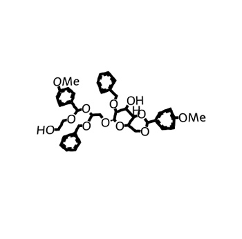 COc1ccc(C(OCCO)OC(CO[C@H]2OC3COC(c4ccc(OC)cc4)O[C@H]3C(O)C2OCc2ccccc2)OCc2ccccc2)cc1